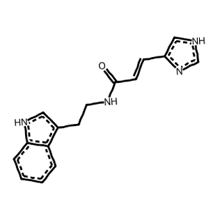 O=C(C=Cc1c[nH]cn1)NCCc1c[nH]c2ccccc12